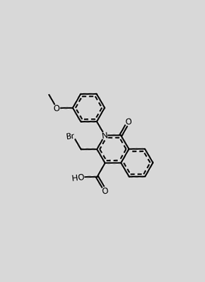 COc1cccc(-n2c(CBr)c(C(=O)O)c3ccccc3c2=O)c1